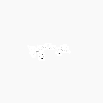 Cc1cccc(CNC[C@H]2CC[C@@H](Nc3nc(N(C)C)c4ccccc4n3)CC2)c1C